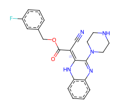 N#C/C(C(=O)OCc1cccc(F)c1)=C1/Nc2ccccc2N=C1N1CCNCC1